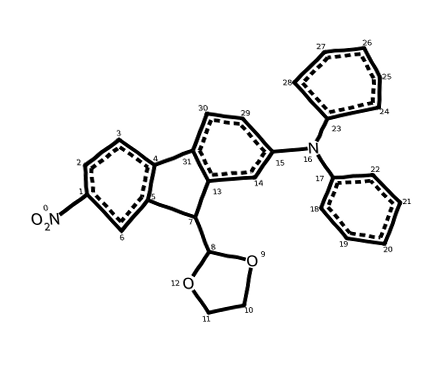 O=[N+]([O-])c1ccc2c(c1)C(C1OCCO1)c1cc(N(c3ccccc3)c3ccccc3)ccc1-2